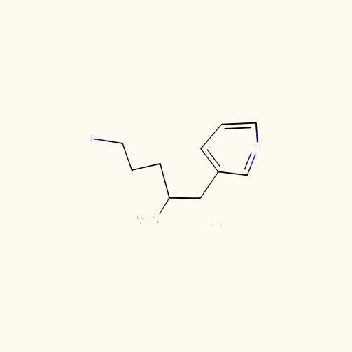 CNC(CCCI)[C@@H](O)c1cccnc1